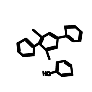 Cc1cc(-c2ccccc2)cc(C)c1-c1ccccc1.Oc1ccccc1